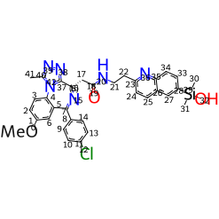 COc1ccc2c(c1)C(c1ccc(Cl)cc1)=N[C@@H](CC(=O)NCCc1ccc3cc([Si](C)(C)O)ccc3n1)c1nnc(C)n1-2